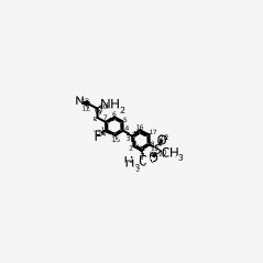 Cc1cc(-c2ccc(C[C@H](N)C#N)c(F)c2)ccc1S(C)(=O)=O